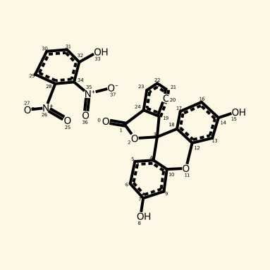 O=C1OC2(c3ccc(O)cc3Oc3cc(O)ccc32)c2ccccc21.O=[N+]([O-])c1cccc(O)c1[N+](=O)[O-]